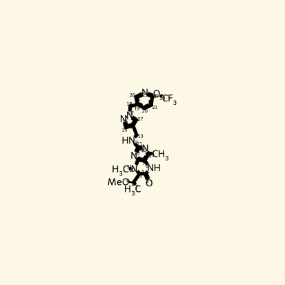 CO[C@H](C)C1C(=O)Nc2c(C)nc(NCc3cnn(Cc4ccc(OC(F)(F)F)nc4)c3)nc2N1C